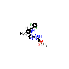 CC1(C)C[C@H]2CC[C@]1(c1ccnc(-c3n[nH]c(CCS(C)(=O)=O)n3)n1)c1nnc(-c3c(F)cccc3F)cc12